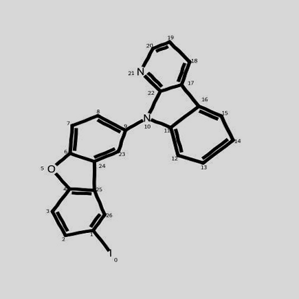 Ic1ccc2oc3ccc(-n4c5ccccc5c5cccnc54)cc3c2c1